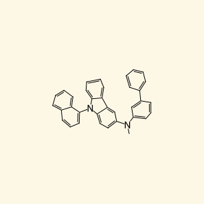 CN(c1cccc(-c2ccccc2)c1)c1ccc2c(c1)c1ccccc1n2-c1cccc2ccccc12